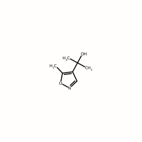 Cc1oncc1C(C)(C)O